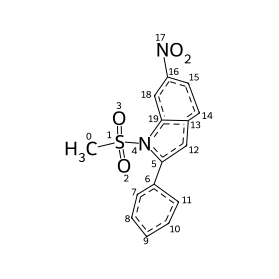 CS(=O)(=O)n1c(-c2ccccc2)cc2ccc([N+](=O)[O-])cc21